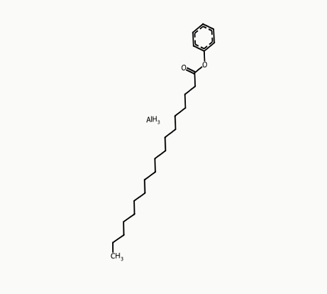 CCCCCCCCCCCCCCCCCC(=O)Oc1ccccc1.[AlH3]